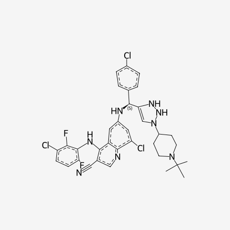 CC(C)(C)N1CCC(N2C=C([C@@H](Nc3cc(Cl)c4ncc(C#N)c(Nc5c(F)ccc(Cl)c5F)c4c3)c3ccc(Cl)cc3)NN2)CC1